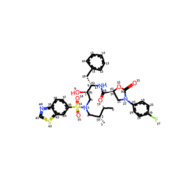 CC[C@H](C)CN(C[C@@H](O)[C@H](Cc1ccccc1)NC(=O)[C@@H]1CN(c2ccc(F)cc2)C(=O)O1)S(=O)(=O)c1ccc2ncsc2c1